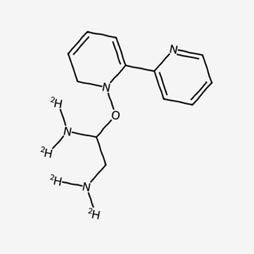 [2H]N([2H])CC(ON1CC=CC=C1c1ccccn1)N([2H])[2H]